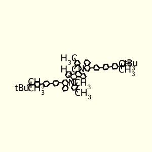 Cc1ccc(N(c2ccc(-c3ccc(-c4ccc(-c5ccc(C(C)(C)CC(C)(C)C)cc5)cc4)cc3)c3ccccc23)c2cc3c4ccccc4c(N(c4ccc(C)cc4C)c4ccc(-c5ccc(-c6ccc(-c7ccc(C(C)(C)CC(C)(C)C)cc7)cc6)cc5)c5ccccc45)cc3c3ccccc23)c(C)c1